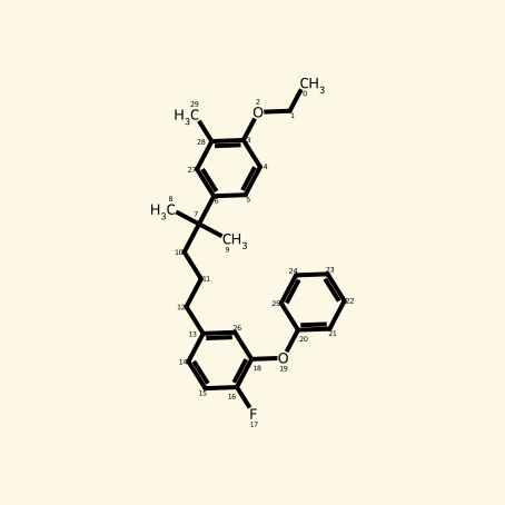 CCOc1ccc(C(C)(C)CCCc2ccc(F)c(Oc3ccccc3)c2)cc1C